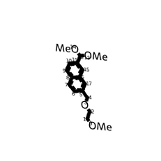 COCCOCc1ccc2ccc(C(OC)OC)cc2c1